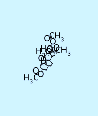 CC(=O)OCC(=O)[C@@]1(O)[C@H](C)C=C2C3=C(C(=O)C[C@@]21C)[C@H]1C=CC(OC(C)=O)=CC1=C=C3